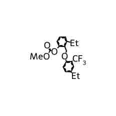 CCc1ccc(OCc2c(CC)cccc2OC(=O)OC)c(C(F)(F)F)c1